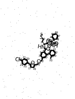 CSCC[C@H](NC(=O)c1ccc(COCc2ccc(-c3ccc(Cl)cc3)o2)cc1-c1ccccc1C)C(=O)ONS(=O)(=O)c1ccccc1